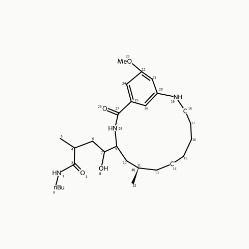 CCCCNC(=O)C(C)CC(O)C1C[C@H](C)CCCCCCNc2cc(OC)cc(c2)C(=O)N1